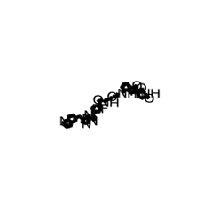 O=C1CCC(N2Cc3c(NCCOCCNC(=O)c4ccc(-c5cnc6ncc(Cc7ccc8ncccc8c7)n6n5)cc4F)cccc3C2=O)C(=O)N1